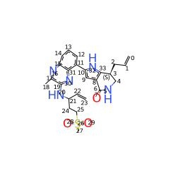 C=CC[C@H]1CNC(=O)c2cc(-c3cccc4nc(C)c(NC(C=C)CCS(C)(=O)=O)nc34)[nH]c21